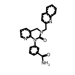 NC(=O)c1cccc(N2C(=O)N(Cc3ccc4ccccc4n3)Cc3cccnc32)c1